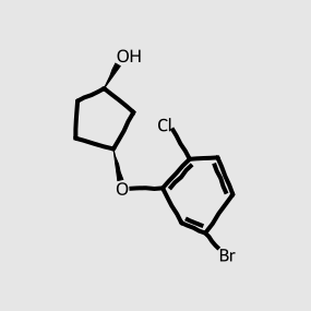 O[C@@H]1CC[C@H](Oc2cc(Br)ccc2Cl)C1